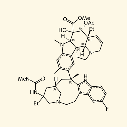 CCC1(NC(=O)NC)C[C@H]2CN(CCc3c([nH]c4ccc(F)cc34)[C@@](C)(c3cc4c(cc3C)N(C)[C@H]3C(O)(C(=O)OC)[C@H](OC(C)=O)[C@]5(CC)C=CCN6CC[C@]43[C@@H]65)C2)C1